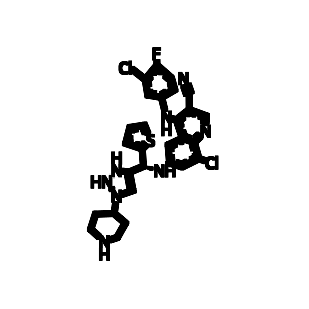 N#Cc1cnc2c(Cl)cc(N[C@H](C3=CN(C4CCNCC4)NN3)c3cccs3)cc2c1Nc1ccc(F)c(Cl)c1